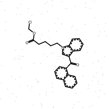 O=C(CCCCn1cc(C(=O)c2cccc3ccccc23)c2ccccc21)OCCl